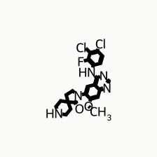 COc1cc2ncnc(Nc3ccc(Cl)c(Cl)c3F)c2cc1N1CCC2(CCNCC2)C1=O